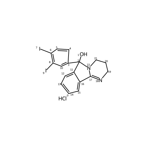 Cl.OC1(c2ccc(I)c(I)c2)c2ccccc2C2=NCCCN21